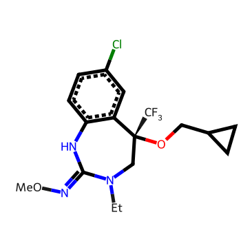 CCN1C[C@](OCC2CC2)(C(F)(F)F)c2cc(Cl)ccc2N/C1=N\OC